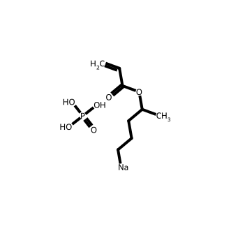 C=CC(=O)OC(C)CC[CH2][Na].O=P(O)(O)O